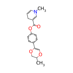 CC1COC(c2ccc(OC(=O)C3=CN(C)C=CC3)cc2)=CO1